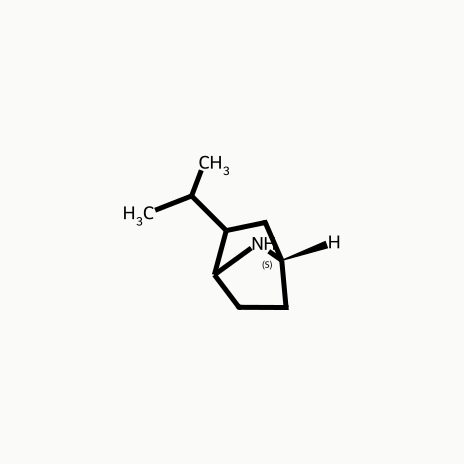 CC(C)C1C[C@@H]2CCC1N2